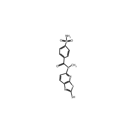 CN(C(=O)c1ccc(S(N)(=O)=O)cc1)c1ccc2nc(S)sc2n1